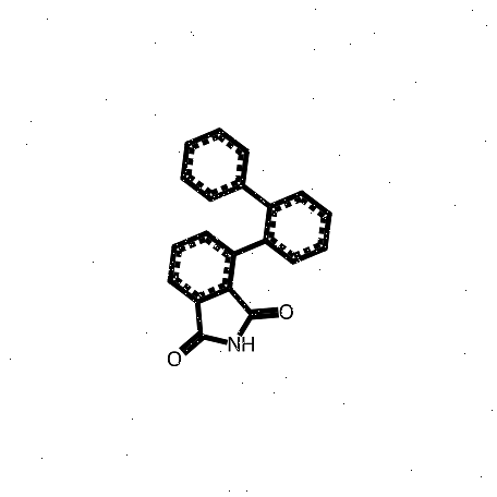 O=C1NC(=O)c2c1cccc2-c1ccccc1-c1ccccc1